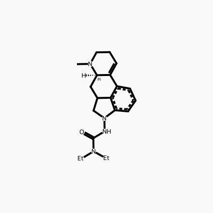 CCN(CC)C(=O)NN1CC2C[C@@H]3C(=CCCN3C)c3cccc1c32